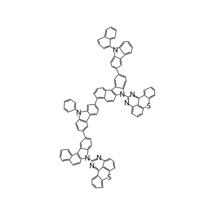 c1ccc(-n2c3ccc(-c4ccc5c(c4)c4c6ccccc6ccc4n5-c4nc5c6c(cccc6n4)Sc4ccccc4-5)cc3c3ccc(-c4cccc5c4ccc4c5c5cc(-c6ccc7c(c6)c6ccccc6n7-c6cccc7ccccc67)ccc5n4-c4nc5c6c(cccc6n4)Sc4ccccc4-5)cc32)cc1